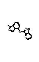 Cn1ncc2c(Nc3n[nH]c4cccnc34)cccc21